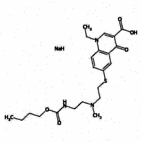 CCCCOC(=O)NCCN(C)CCSc1ccc2c(c1)c(=O)c(C(=O)O)cn2CC.[NaH]